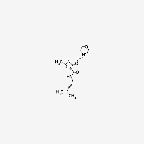 Cc1cn(C(=O)NCC#CC(C)C)c(OCCN2CCOCC2)n1